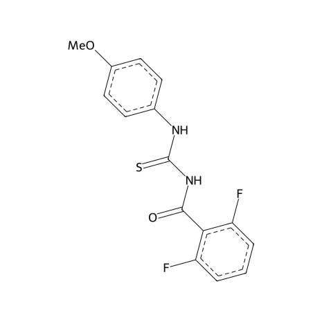 COc1ccc(NC(=S)NC(=O)c2c(F)cccc2F)cc1